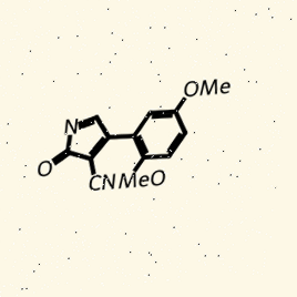 COc1ccc(OC)c(C2=C(C#N)C(=O)N=C2)c1